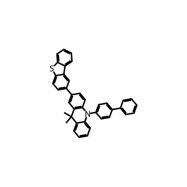 CC1(C)c2ccccc2N(c2ccc(-c3ccccc3)cc2)c2ccc(-c3ccc4sc5ccccc5c4c3)cc21